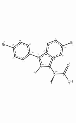 Cc1c([C@H](C)C(=O)O)c2cc(Br)ccc2n1-c1ccc(Br)cc1